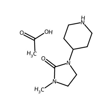 CC(=O)O.CN1CCN(C2CCNCC2)C1=O